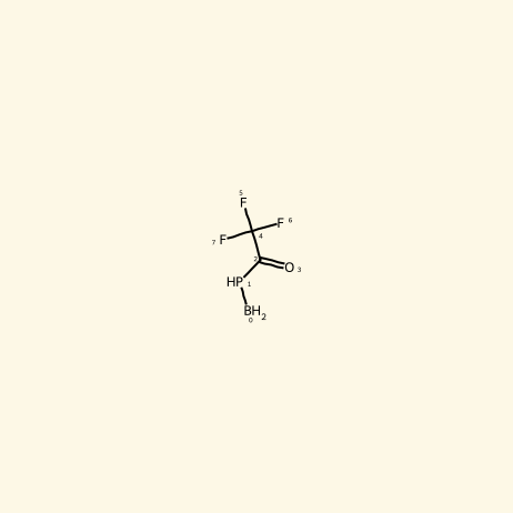 BPC(=O)C(F)(F)F